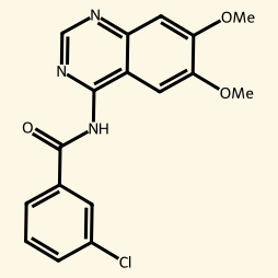 COc1cc2ncnc(NC(=O)c3cccc(Cl)c3)c2cc1OC